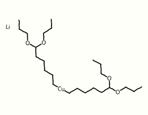 CCCOC(CCCC[CH2][Cu][CH2]CCCCC(OCCC)OCCC)OCCC.[Li]